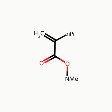 C=C(CCC)C(=O)ONC